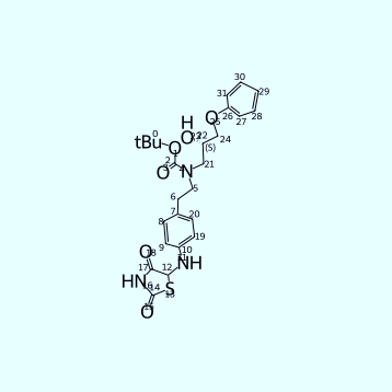 CC(C)(C)OC(=O)N(CCc1ccc(NC2SC(=O)NC2=O)cc1)C[C@H](O)COc1ccccc1